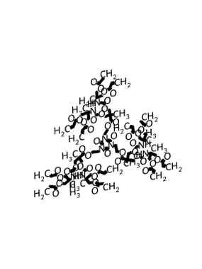 C=CC(=O)OCC(C)(COC(=O)C=C)NC(=O)OCC(C)(COC(=O)NC(C)(COC(=O)C=C)COC(=O)C=C)C(=O)OCCn1c(=O)n(CCOC(=O)C(C)(COC(=O)NC(C)(COC(=O)C=C)COC(=O)C=C)COC(=O)NC(C)(COC(=O)C=C)COC(=O)C=C)c(=O)n(CCOC(=O)C(C)(COC(=O)NC(C)(COC(=O)C=C)COC(=O)C=C)COC(=O)NC(C)(COC(=O)C=C)COC(=O)C=C)c1=O